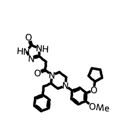 COc1ccc(N2CCN(C(=O)Cc3n[nH]c(=O)[nH]3)C(Cc3ccccc3)C2)cc1OC1CCCC1